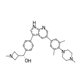 Cc1cc(-c2cnc3[nH]cc(-c4ccc([C@H](O)C5CN(C)C5)cc4)c3c2)cc(C)c1N1CCN(C)CC1